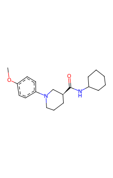 COc1ccc(N2CCC[C@H](C(=O)NC3CCCCC3)C2)cc1